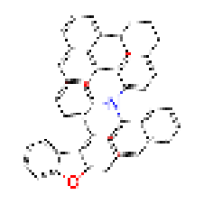 c1ccc(N(c2ccccc2-c2cccc3oc4ccccc4c23)c2cccc3ccccc23)c(-c2cccc3cccc(C4CCCCC4)c23)c1